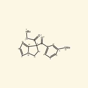 CCCCOC(=O)C1(C(=O)c2cccc(SC)c2)CCn2cccc21